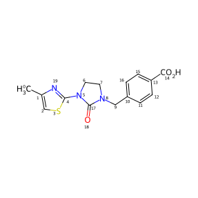 Cc1csc(N2CCN(Cc3ccc(C(=O)O)cc3)C2=O)n1